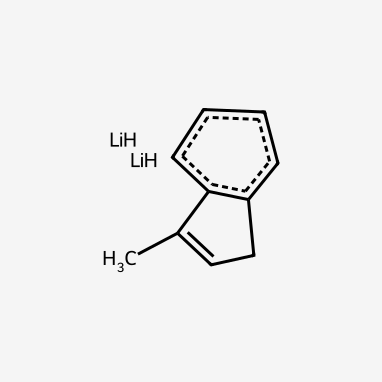 CC1=CCc2ccccc21.[LiH].[LiH]